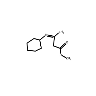 COC(=O)CC(C)=NC1CCCCC1